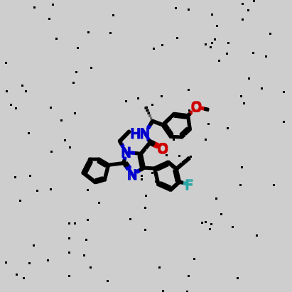 CCn1c(-c2ccccc2)nc(-c2ccc(F)c(C)c2)c1C(=O)N[C@H](C)c1cccc(OC)c1